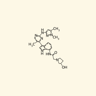 Cc1cnc(Nc2cc(C)n(C)n2)nc1-c1c[nH]c2c(NC(=O)CN3CCC(O)C3)cccc12